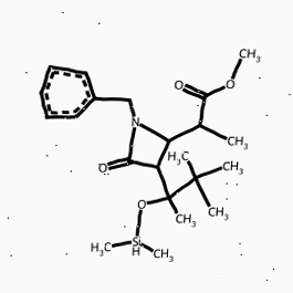 COC(=O)C(C)C1C(C(C)(O[SiH](C)C)C(C)(C)C)C(=O)N1Cc1ccccc1